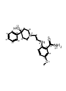 COc1ccc(NCCN2CCC(O)(c3ccccc3)CC2)c(C(N)=O)c1